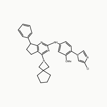 COc1cc(Nc2nc3c(c(N4CC5(CCCC5)C4)n2)CCC3c2ccccc2)ccc1-n1cnc(Cl)c1